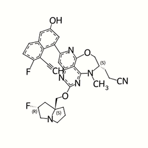 C#Cc1c(F)ccc2cc(O)cc(-c3cc4nc(OC[C@@]56CCCN5C[C@H](F)C6)nc5c4c(n3)OC[C@H](CCC#N)N5C)c12